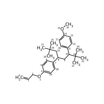 C=CCOc1ccc(C(CC(c2ccc(OC)cc2)C(C)(C)C)CC(C)(C)C)cc1